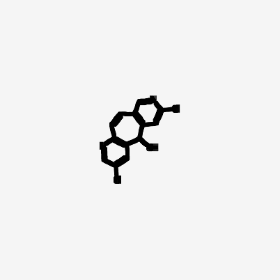 OC1c2cc(Cl)ncc2C=Cc2ncc(Cl)cc21